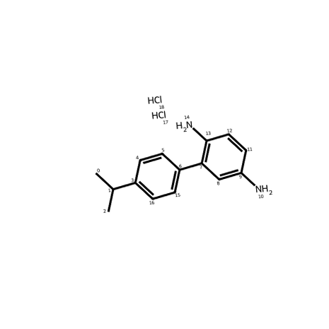 CC(C)c1ccc(-c2cc(N)ccc2N)cc1.Cl.Cl